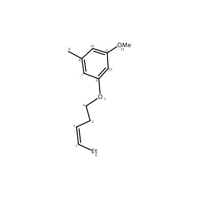 CC/C=C\CCOc1cc(C)cc(OC)c1